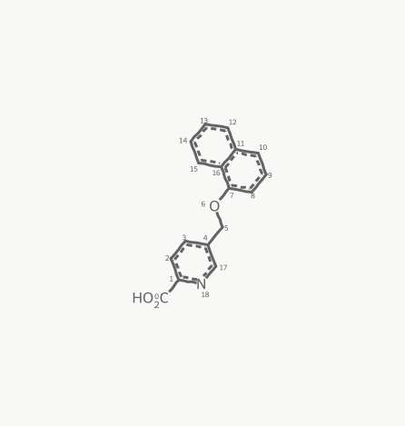 O=C(O)c1ccc(COc2cccc3ccccc23)cn1